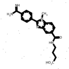 Cn1c(-c2ccc(C(=N)N)cc2)nc2cc(C(=O)NCCCC(=O)O)ccc21